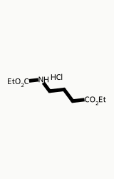 CCOC(=O)CCCNC(=O)OCC.Cl